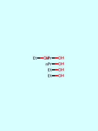 CCCO.CCCO.CCO.CCO.CCO